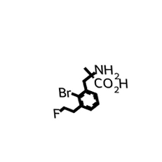 C[C@](N)(Cc1cccc(CCF)c1Br)C(=O)O